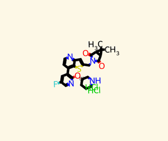 CC1(C)C2C(=O)N(Cc3cc4nccc(-c5cc(F)cnc5O[C@H]5CCCNC5)c4s3)C(=O)C21.Cl.Cl